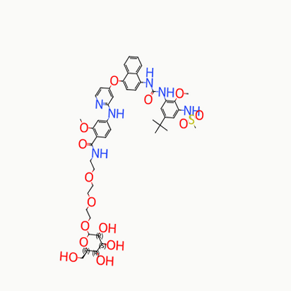 COc1cc(Nc2cc(Oc3ccc(NC(=O)Nc4cc(C(C)(C)C)cc(NS(C)(=O)=O)c4OC)c4ccccc34)ccn2)ccc1C(=O)NCCOCCOCCOC1O[C@H](CO)[C@H](O)[C@H](O)[C@H]1O